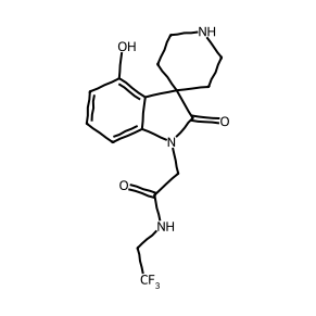 O=C(CN1C(=O)C2(CCNCC2)c2c(O)cccc21)NCC(F)(F)F